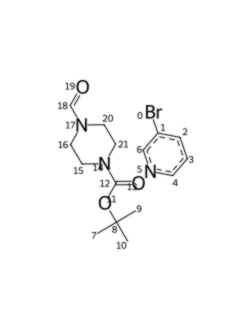 Brc1cccnc1.CC(C)(C)OC(=O)N1CCN(C=O)CC1